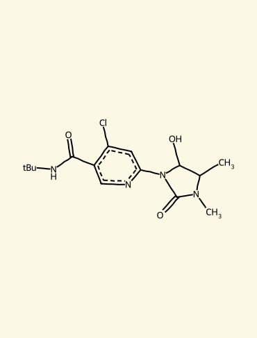 CC1C(O)N(c2cc(Cl)c(C(=O)NC(C)(C)C)cn2)C(=O)N1C